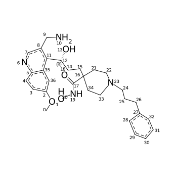 COc1ccc2ncc(CN)c([C@H](O)CCC3(C(=O)NO)CCN(CCCc4ccccc4)CC3)c2c1